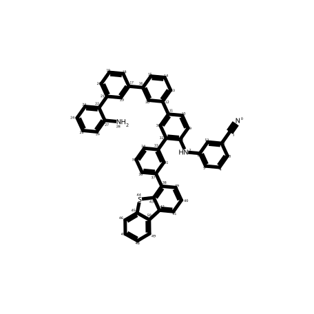 N#Cc1cccc(Nc2ccc(-c3cccc(-c4cccc(-c5ccccc5N)c4)c3)cc2-c2cccc(-c3cccc4c3sc3ccccc34)c2)c1